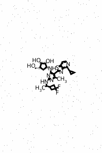 Cc1nc(NC(C)C2CC(F)(F)C2)nc(N[C@@H]2C[C@H](CO)[C@@H](O)[C@H]2O)c1-c1nc2c(C3CC3)nccc2s1